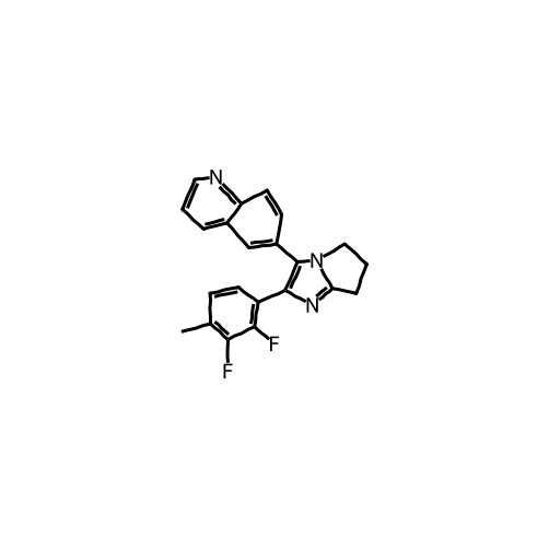 Cc1ccc(-c2nc3n(c2-c2ccc4ncccc4c2)CCC3)c(F)c1F